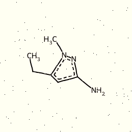 CCc1cc(N)nn1C